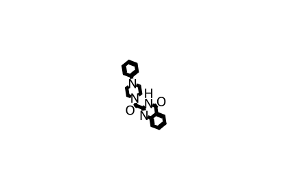 O=C(c1nc2ccccc2c(=O)[nH]1)N1CCN(c2ccccc2)CC1